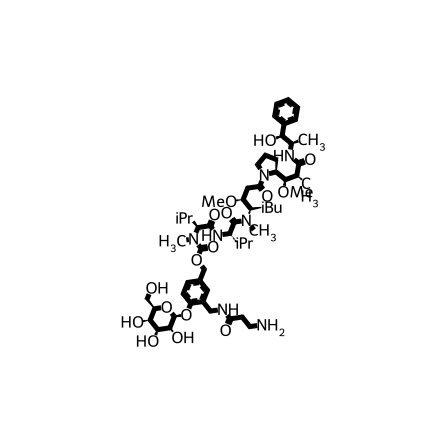 CC[C@H](C)[C@@H]([C@@H](CC(=O)N1CCC[C@H]1[C@H](OC)[C@@H](C)C(=O)N[C@H](C)[C@@H](O)c1ccccc1)OC)N(C)C(=O)[C@@H](NC(=O)[C@H](C(C)C)N(C)C(=O)OCc1ccc(O[C@@H]2O[C@H](CO)[C@@H](O)[C@H](O)[C@H]2O)c(CNC(=O)CCN)c1)C(C)C